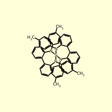 Cc1ccc(N2c3ccccc3-c3ccccc3N(c3ccc(C)cc3)[Si]23N(c2ccc(C)cc2)c2ccccc2-c2ccccc2N3c2ccc(C)cc2)cc1